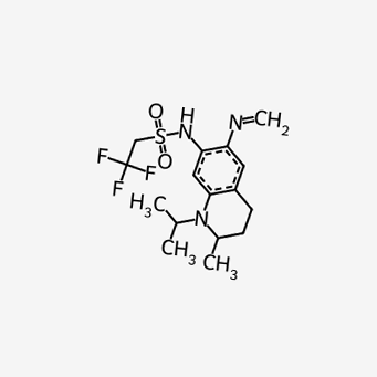 C=Nc1cc2c(cc1NS(=O)(=O)CC(F)(F)F)N(C(C)C)C(C)CC2